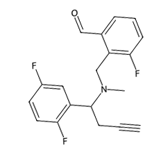 C#CCC(c1cc(F)ccc1F)N(C)Cc1c(F)cccc1C=O